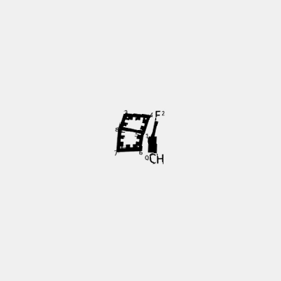 C#CF.c1cc2ccc1-2